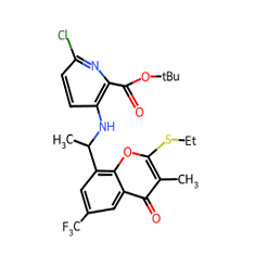 CCSc1oc2c(C(C)Nc3ccc(Cl)nc3C(=O)OC(C)(C)C)cc(C(F)(F)F)cc2c(=O)c1C